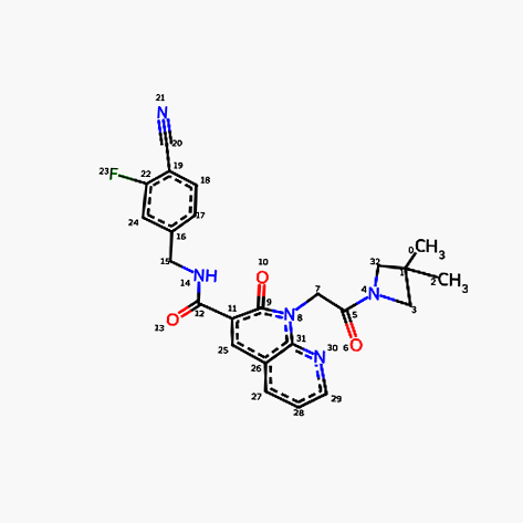 CC1(C)CN(C(=O)Cn2c(=O)c(C(=O)NCc3ccc(C#N)c(F)c3)cc3cccnc32)C1